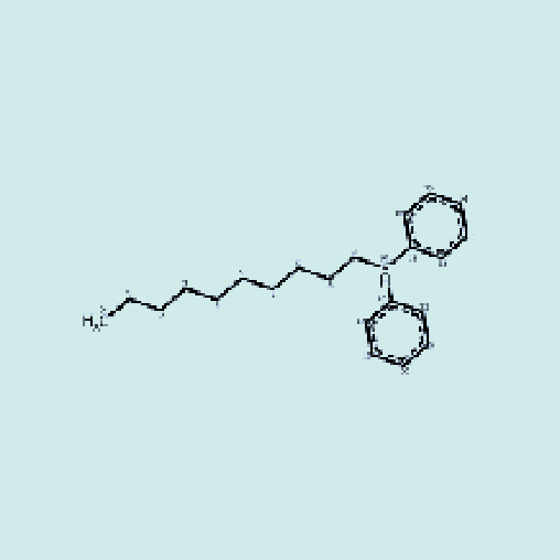 CCCCCCCCCC[SH](c1ccccc1)c1ccccc1